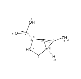 CC1=C2[C@@H]1CN[C@@H]2C(=O)O